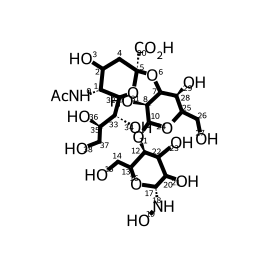 CC(=O)N[C@@H]1C(O)C[C@](OC2[C@H](O)C(O[C@@H]3C(CO)O[C@@H](NO)C(O)C3O)OC(CO)[C@@H]2O)(C(=O)O)OC1[C@H](O)[C@H](O)CO